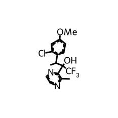 COc1ccc(C(C)C(O)(c2nccnc2C)C(F)(F)F)c(Cl)c1